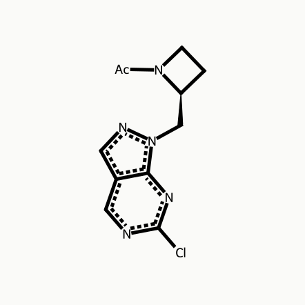 CC(=O)N1CC[C@H]1Cn1ncc2cnc(Cl)nc21